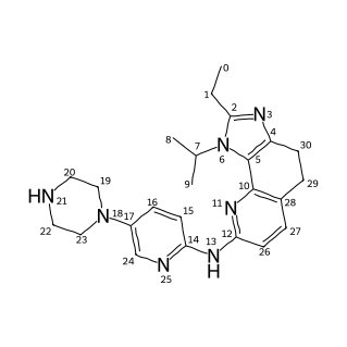 CCc1nc2c(n1C(C)C)-c1nc(Nc3ccc(N4CCNCC4)cn3)ccc1CC2